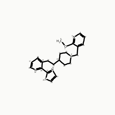 COc1ncccc1CN1CCC(CCc2cccnc2-c2nccs2)CC1